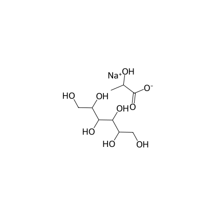 CC(O)C(=O)[O-].OCC(O)C(O)C(O)C(O)CO.[Na+]